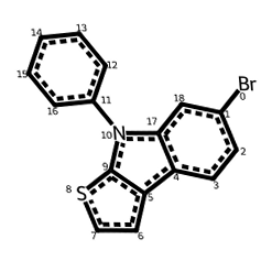 Brc1ccc2c3ccsc3n(-c3ccccc3)c2c1